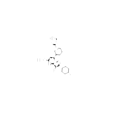 Cc1cc([C@@H]2CCCN(C(=O)OC(C)(C)C)C2)n2nc([C@H]3CC[C@H](C(F)(F)F)CC3)c(F)c2n1